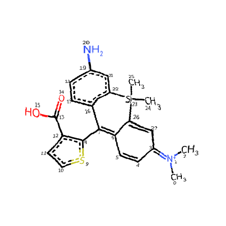 C[N+](C)=C1C=CC2=C(c3sccc3C(=O)O)c3ccc(N)cc3[Si](C)(C)C2=C1